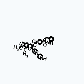 Cc1cc(C[C@@H](OC(=O)N2CCC(N3CCc4ccccc4NC3=O)CC2)C(=O)N2CCN(C3CCNCC3)CC2)cc2cnn(C)c12